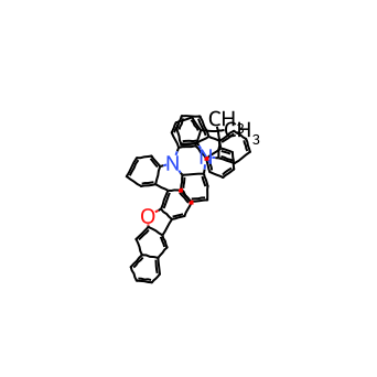 CC1(C)c2ccccc2-c2c(N(c3ccccc3-c3cccc4c3oc3cc5ccccc5cc34)c3ccccc3-n3c4ccccc4c4ccccc43)cccc21